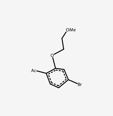 COCCOc1cc(Br)ccc1C(C)=O